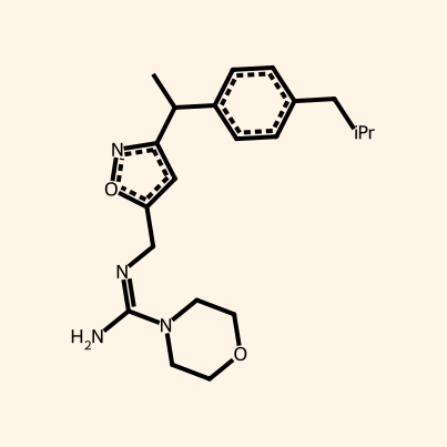 CC(C)Cc1ccc(C(C)c2cc(C/N=C(/N)N3CCOCC3)on2)cc1